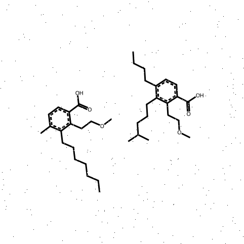 CCCCCCCc1c(C)ccc(C(=O)O)c1CCOC.CCCCc1ccc(C(=O)O)c(CCOC)c1CCCC(C)C